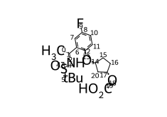 C[C@@H](N[S@+]([O-])C(C)(C)C)c1cc(F)ccc1O[C@H]1CC[C@@H](OC(=O)O)C1